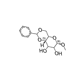 CO[C@@H]1OC2COC(c3ccccc3)O[C@H]2C(O)C1O